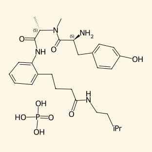 CC(C)CCNC(=O)CCCc1ccccc1NC(=O)[C@H](C)N(C)C(=O)[C@@H](N)Cc1ccc(O)cc1.O=P(O)(O)O